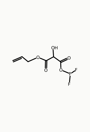 C=CCOC(=O)C(O)C(=O)OP(F)F